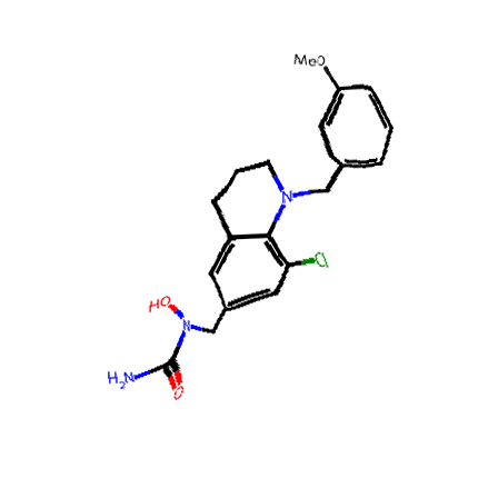 COc1cccc(CN2CCCc3cc(CN(O)C(N)=O)cc(Cl)c32)c1